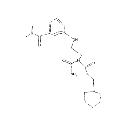 CN(C)C(=O)c1cccc(NCCN(C(N)=O)C(=O)[CH]CC2CCCCC2)c1